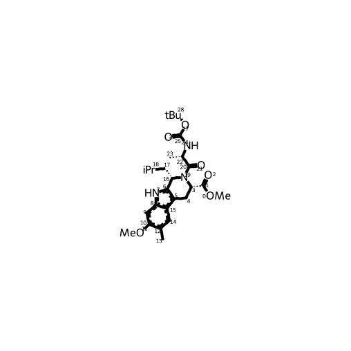 COC(=O)[C@@H]1Cc2c([nH]c3cc(OC)c(C)cc23)[C@H](CC(C)C)N1C(=O)[C@H](C)NC(=O)OC(C)(C)C